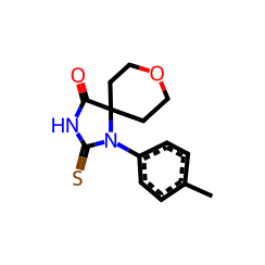 Cc1ccc(N2C(=S)NC(=O)C23CCOCC3)cc1